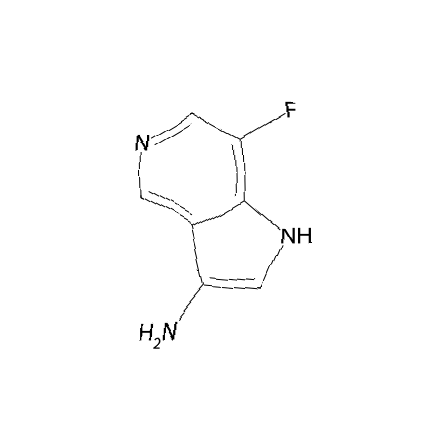 Nc1c[nH]c2c(F)cncc12